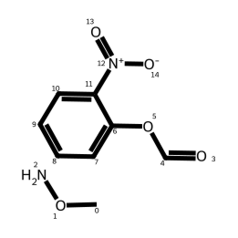 CON.O=COc1ccccc1[N+](=O)[O-]